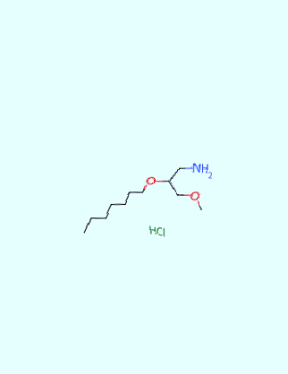 CCCCCCCOC(CN)COC.Cl